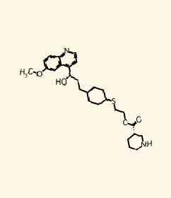 COc1ccc2nccc([C@H](O)CCC3CCC(SCCOC(=O)[C@H]4CCCNC4)CC3)c2c1